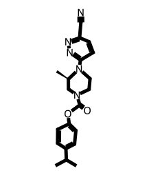 CC(C)c1ccc(OC(=O)N2CCN(c3ccc(C#N)nn3)[C@H](C)C2)cc1